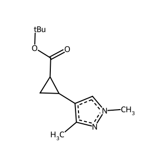 Cc1nn(C)cc1C1CC1C(=O)OC(C)(C)C